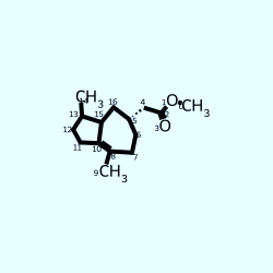 COC(=O)C[C@@H]1CCC(C)=C2CCC(C)C2C1